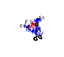 CCc1cnn([C@H]2C[C@@H](n3cnc4c(NCC(c5ccccc5)c5ccccc5)nc(NCCc5cn(CC)cn5)nc43)[C@H](O)[C@@H]2OC(=O)C(F)(F)F)n1